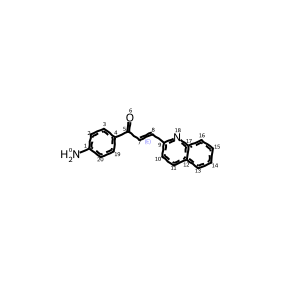 Nc1ccc(C(=O)/C=C/c2ccc3ccccc3n2)cc1